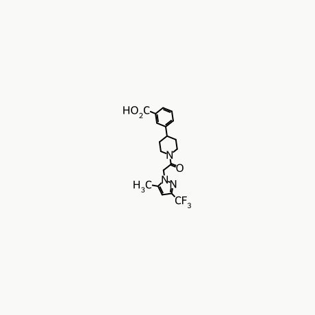 Cc1cc(C(F)(F)F)nn1CC(=O)N1CCC(c2cccc(C(=O)O)c2)CC1